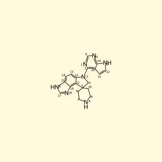 c1nc(N2CC3(CCNCC3)c3c2ccc2[nH]cnc32)c2cc[nH]c2n1